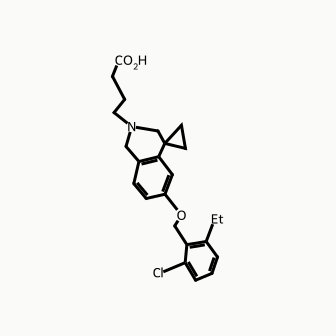 CCc1cccc(Cl)c1COc1ccc2c(c1)C1(CC1)CN(CCCC(=O)O)C2